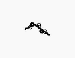 CCCCOc1cccc(CCC(=O)CCc2cccc(OCCCC)c2)c1